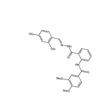 COc1ccc(C(=O)Nc2ccccc2C(=O)N/N=C/c2ccc(O)cc2O)cc1OC